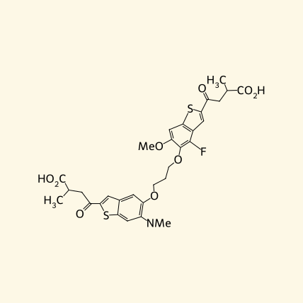 CNc1cc2sc(C(=O)CC(C)C(=O)O)cc2cc1OCCCOc1c(OC)cc2sc(C(=O)CC(C)C(=O)O)cc2c1F